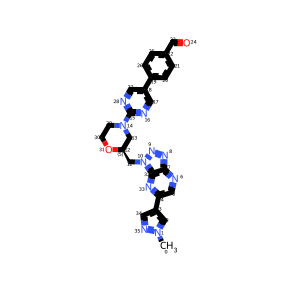 Cn1cc(-c2cnc3nnn(C[C@@H]4CN(c5ncc(-c6ccc(C=O)cc6)cn5)CCO4)c3n2)cn1